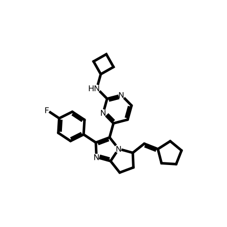 Fc1ccc(-c2nc3n(c2-c2ccnc(NC4CCC4)n2)C(C=C2CCCC2)CC3)cc1